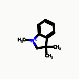 C[N+]1CC(C)(C)c2ccccc21